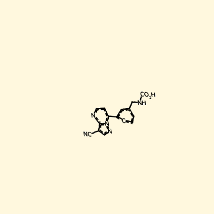 N#Cc1cnn2c(-c3cccc(CNC(=O)O)c3)ccnc12